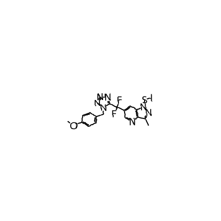 COc1ccc(Cn2nnnc2C(F)(F)c2cnc3c(C)nn(SI)c3c2)cc1